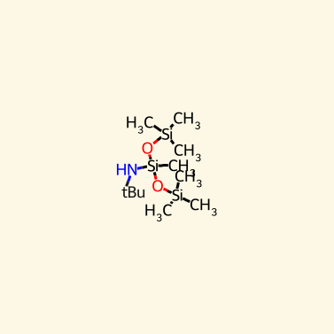 CC(C)(C)N[Si](C)(O[Si](C)(C)C)O[Si](C)(C)C